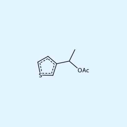 CC(=O)OC(C)c1ccsc1